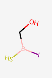 OCB(S)I